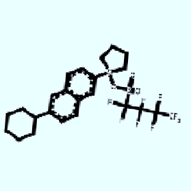 O=S(=O)(OS1(c2ccc3cc(C4CCCCC4)ccc3c2)CCCC1)C(F)(F)C(F)(F)C(F)(F)C(F)(F)F